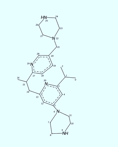 CC(C)c1cc(N2CCNCC2)cc(CC(C)c2ccc(CN3CCNCC3)cn2)n1